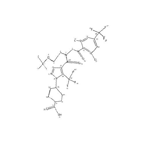 CC(C)(C)OCCN(CC(=O)c1c(Cl)cc(C(F)(F)F)cc1Cl)C(=O)c1cnn(C2CCC(C(=O)O)CC2)c1C(F)(F)F